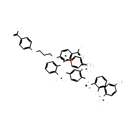 Cc1ccc(S(=O)(=O)Oc2ccccc2S(=O)(=O)Oc2ccc(OS(=O)(=O)c3ccccc3OS(=O)(=O)c3ccc(C)cc3)c(S(=O)(=O)ON=C(c3ccc(OCCCOc4ccc(C(=O)C(F)(F)F)cc4)cc3)C(F)(F)F)c2)cc1